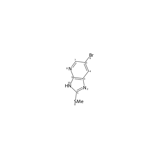 CSc1nc2cc(Br)cnc2[nH]1